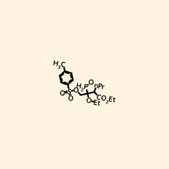 CCCC(C(=O)OCC)C(COS(=O)(=O)c1ccc(C)cc1)(OCC)[PH2]=O